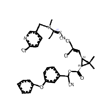 C/C(=N\C#N)N(C)Cc1ccc(Cl)nc1.CC1(C)[C@H](C=C(Cl)Cl)[C@H]1C(=O)OC(C#N)c1cccc(Oc2ccccc2)c1